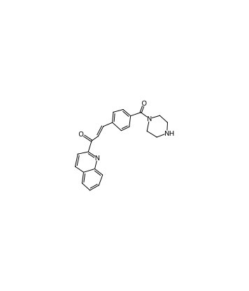 O=C(C=Cc1ccc(C(=O)N2CCNCC2)cc1)c1ccc2ccccc2n1